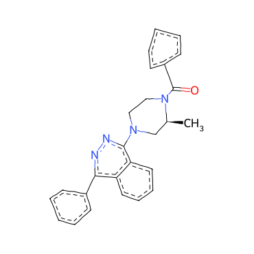 C[C@H]1CN(c2nnc(-c3ccccc3)c3ccccc23)CCN1C(=O)c1ccccc1